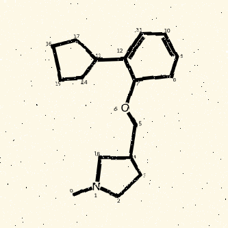 CN1CCC(COC2CC=CC=C2C2CCCC2)C1